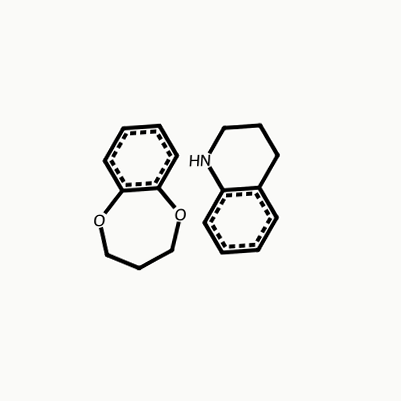 c1ccc2c(c1)CCCN2.c1ccc2c(c1)OCCCO2